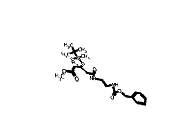 COC(=O)CC(CC(=O)NCCNC(=O)OCc1ccccc1)O[Si](C)(C)C(C)(C)C